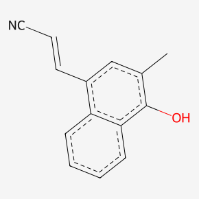 Cc1cc(/C=C/C#N)c2ccccc2c1O